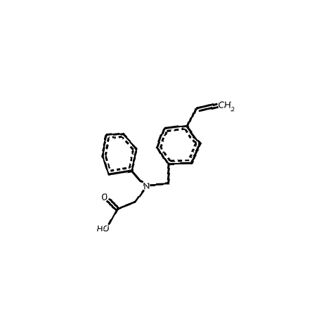 C=Cc1ccc(CN(CC(=O)O)c2ccccc2)cc1